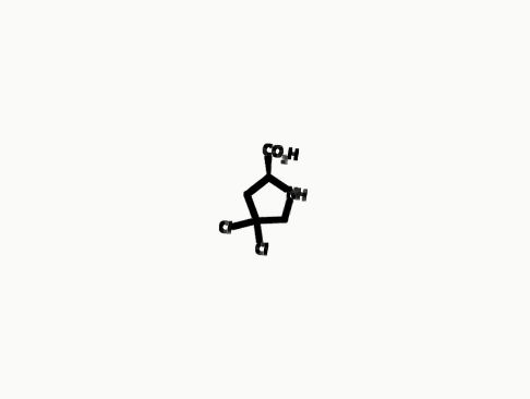 O=C(O)[C@@H]1CC(Cl)(Cl)CN1